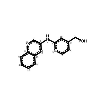 OCc1ccnc(Nc2cnc3ccccc3n2)c1